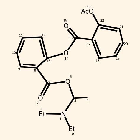 CCN(CC)C(C)OC(=O)c1ccccc1OC(=O)c1ccccc1OC(C)=O